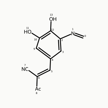 C=Nc1cc(/C=C(\C#N)C(C)=O)cc(O)c1O